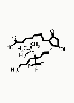 CCCCC(C/C=C/[C@H]1[C@H](O)CC(=O)[C@@H]1C/C=C\CCCC(=O)O)(O[Si](C)(C)C)C(F)(F)F